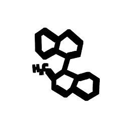 C=C1C=Cc2ccccc2C1c1cccc2ccccc12